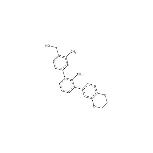 Cc1nc(-c2cccc(-c3ccc4c(c3)OCCO4)c2C)ccc1CO